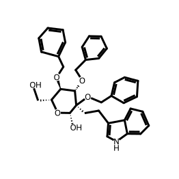 OC[C@H]1O[C@@H](O)[C@](CCc2c[nH]c3ccccc23)(OCc2ccccc2)[C@@H](OCc2ccccc2)[C@@H]1OCc1ccccc1